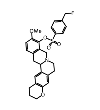 COc1ccc2c(c1OS(=O)(=O)c1ccc(CF)cc1)CN1CCc3cc4c(cc3C1C2)CCCO4